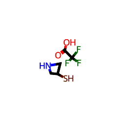 O=C(O)C(F)(F)F.SC1CNC1